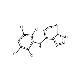 Clc1cc(Cl)c(Cl)c(Nc2ncnc3[nH]cnc23)c1Cl